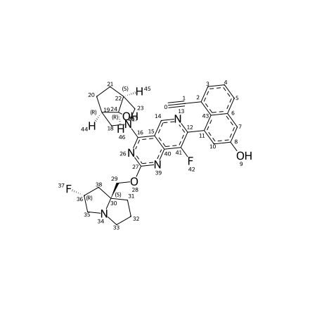 C#Cc1cccc2cc(O)cc(-c3ncc4c(N5C[C@H]6CC[C@@H](C5)[C@H]6O)nc(OC[C@@]56CCCN5C[C@H](F)C6)nc4c3F)c12